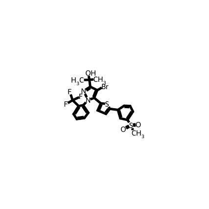 CC(C)(O)c1nn(-c2ccccc2C(F)(F)F)c(-c2ccc(-c3cccc(S(C)(=O)=O)c3)s2)c1Br